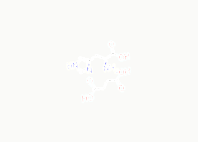 N[C@@H](Cc1c[nH]cn1)C(=O)O.O=C(O)CCC(=O)O